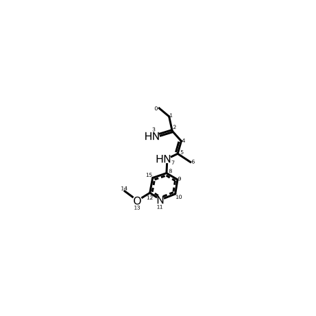 CCC(=N)/C=C(/C)Nc1ccnc(OC)c1